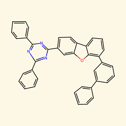 c1ccc(-c2cccc(-c3cccc4c3oc3cc(-c5nc(-c6ccccc6)nc(-c6ccccc6)n5)ccc34)c2)cc1